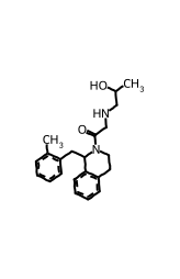 Cc1ccccc1CC1c2ccccc2CCN1C(=O)CNCC(C)O